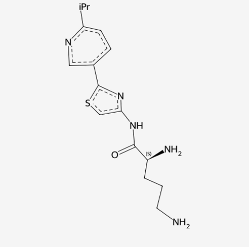 CC(C)c1ccc(-c2nc(NC(=O)[C@@H](N)CCCN)cs2)cn1